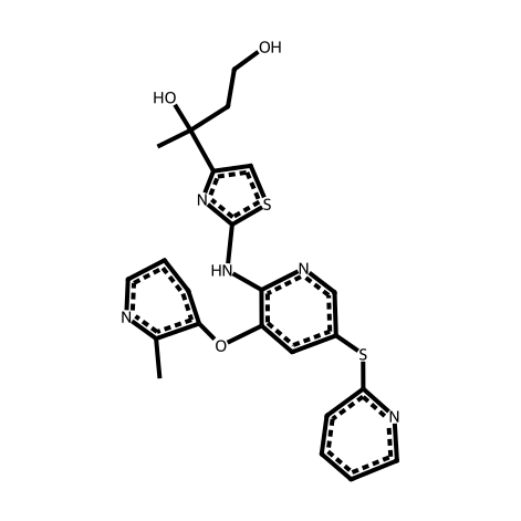 Cc1ncccc1Oc1cc(Sc2ccccn2)cnc1Nc1nc(C(C)(O)CCO)cs1